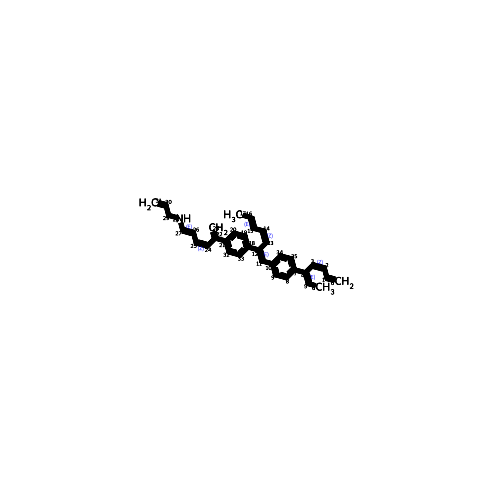 C=C/C=C\C(=C/C)c1ccc(\C=C(/C=C\C=C\C)c2ccc(C(=C)/C=C\C=C\NCC=C)cc2)cc1